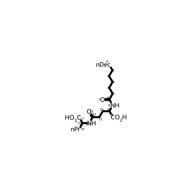 CCCCCCCCCCCCCCCC(=O)NC(CCC(=O)NC(CCC)C(=O)O)C(=O)O